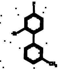 Cc1cccc(-c2ccc(F)cc2Br)c1